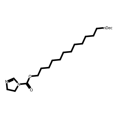 CCCCCCCCCCCCCCCCCCCCCCOC(=O)N1C=NCC1